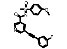 COc1ccc(S(C)(=O)=NC(=O)c2cncc(C#Cc3cccc(F)c3)c2)cc1